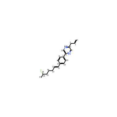 C=CCc1cnc(-c2ccc(C=CCCCC(C)F)cc2)cn1